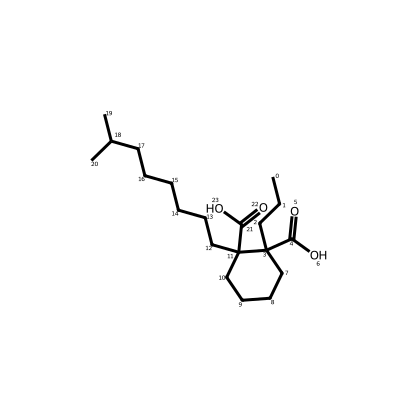 CCCC1(C(=O)O)CCCCC1(CCCCCCC(C)C)C(=O)O